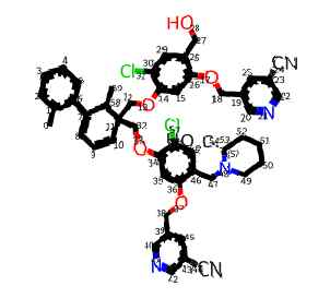 Cc1ccccc1C1=CC=CC(COc2cc(OCc3cncc(C#N)c3)c(CO)cc2Cl)(COc2cc(OCc3cncc(C#N)c3)c(CN3CCCC[C@H]3C(=O)O)cc2Cl)C1C